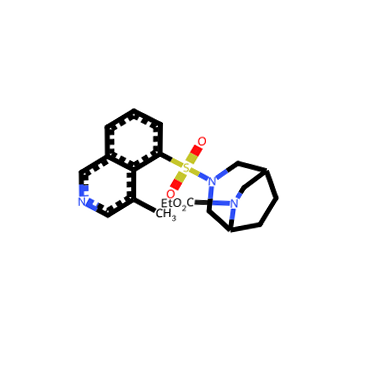 CCOC(=O)N1CC2CCC1CN(S(=O)(=O)c1cccc3cncc(C)c13)C2